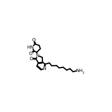 NCCCCCCCCc1nccc2c1CN(C1CCC(=O)NC1=O)C2=O